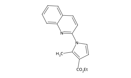 CCOC(=O)c1ccn(-c2ccc3ccccc3n2)c1C